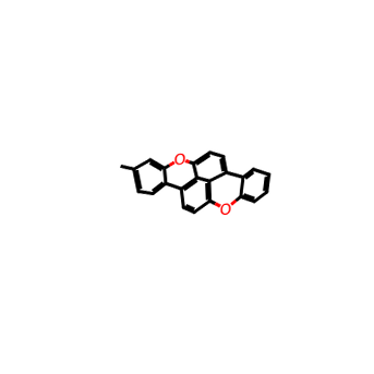 Cc1ccc2c(c1)Oc1ccc3c4c(ccc-2c14)Oc1ccccc1-3